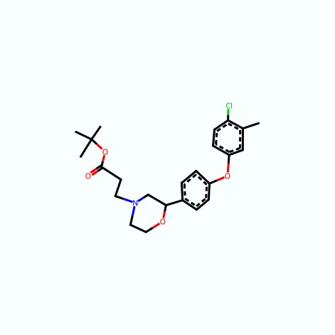 Cc1cc(Oc2ccc(C3CN(CCC(=O)OC(C)(C)C)CCO3)cc2)ccc1Cl